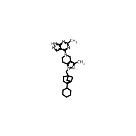 Cc1nc(N2CCc3c(c(C)nn3CC34CCC(C5CCCCC5)=C(C3)C4)C2)c2cn[nH]c2n1